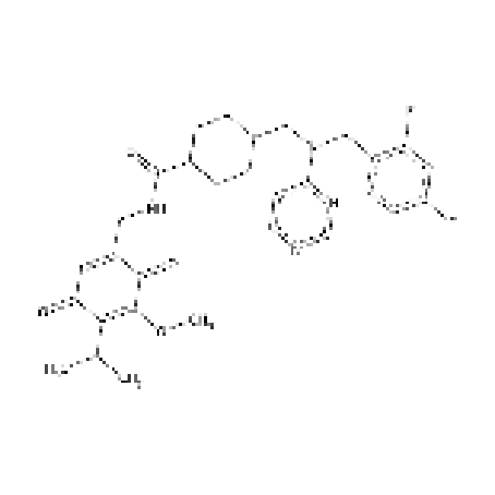 COC1=C(C(C)C)C(=O)C=C(CNC(=O)C2CCC(CN(Cc3ccc(F)cc3F)c3ccncn3)CC2)C1=O